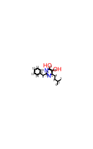 CC(C)CCc1nc(Cc2ccccc2)nc(O)c1O